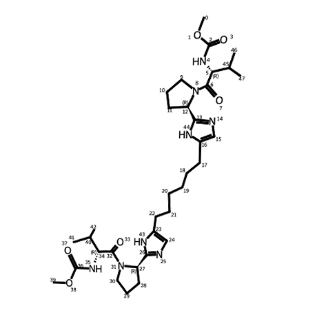 COC(=O)N[C@@H](C(=O)N1CCC[C@@H]1c1ncc(CCCCCCc2cnc([C@H]3CCCN3C(=O)[C@H](NC(=O)OC)C(C)C)[nH]2)[nH]1)C(C)C